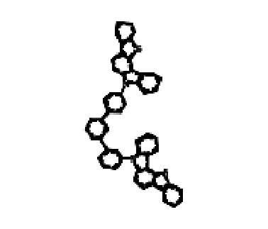 c1cc(-c2ccc(-n3c4ccccc4c4c5sc6ccccc6c5ccc43)cc2)cc(-c2cccc(-n3c4ccccc4c4c5sc6ccccc6c5ccc43)c2)c1